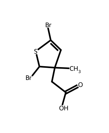 CC1(CC(=O)O)C=C(Br)SC1Br